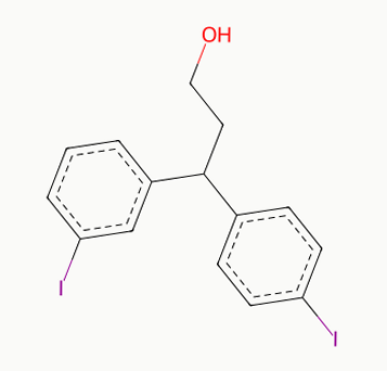 OCCC(c1ccc(I)cc1)c1cccc(I)c1